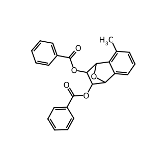 Cc1cccc2c1C1OC2C(OC(=O)c2ccccc2)C1OC(=O)c1ccccc1